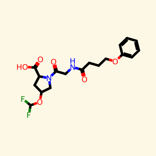 O=C(CCCOc1ccccc1)NCC(=O)N1CC(OC(F)F)CC1C(=O)O